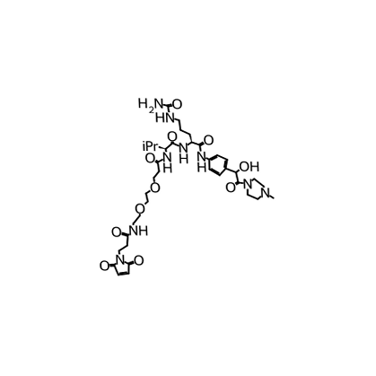 CC(C)[C@H](NC(=O)CCOCCOCCNC(=O)CCN1C(=O)C=CC1=O)C(=O)N[C@@H](CCCNC(N)=O)C(=O)Nc1ccc(C(O)C(=O)N2CCN(C)CC2)cc1